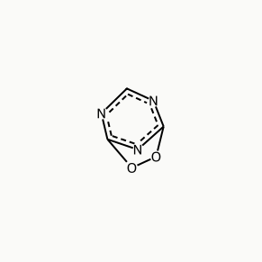 c1nc2nc(n1)OO2